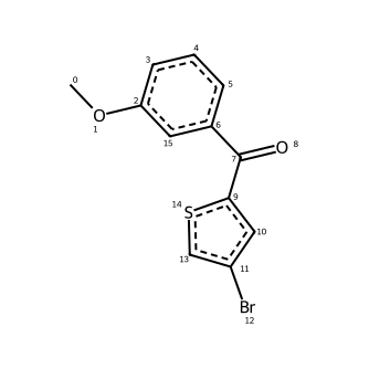 COc1cccc(C(=O)c2cc(Br)cs2)c1